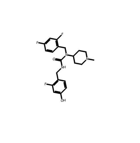 CN1CCC(N(Cc2ccc(F)cc2F)C(=O)NCc2ccc(O)cc2F)CC1